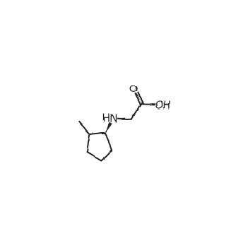 CC1CCC[C@@H]1NCC(=O)O